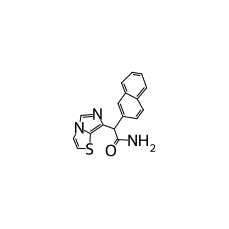 NC(=O)C(c1ccc2ccccc2c1)c1ncn2ccsc12